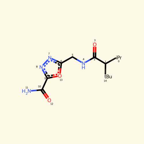 CC(C)C(C(=O)NCc1nnc(C(N)=O)o1)C(C)(C)C